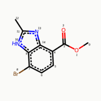 COC(=O)c1ccc(Br)c2[nH]c(C)nc12